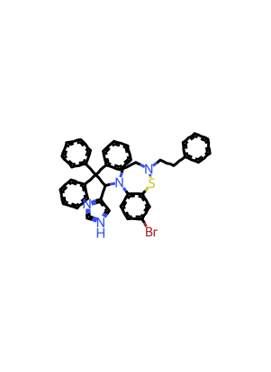 Brc1ccc2c(c1)SN(CCc1ccccc1)CCN2C(c1c[nH]cn1)C(c1ccccc1)(c1ccccc1)c1ccccc1